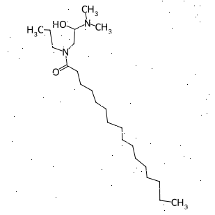 CCCCCCCCCCCCCCCC(=O)N(CCC)CC(O)N(C)C